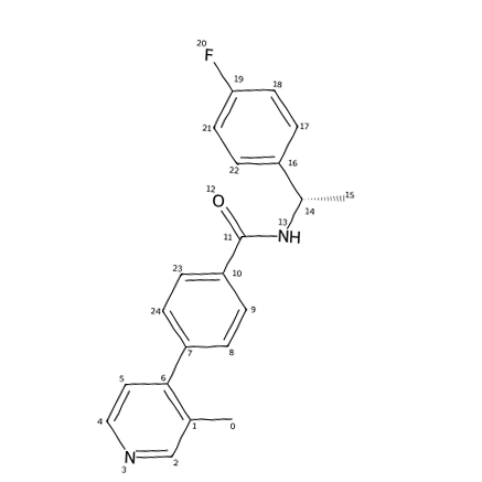 Cc1cnccc1-c1ccc(C(=O)N[C@@H](C)c2ccc(F)cc2)cc1